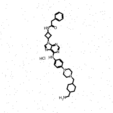 Cl.NCC1CCC(CN2CCN(c3ccc(Nc4ncnc5c4ncn5C4CC(NC(=O)Cc5ccccc5)C4)cc3)CC2)CC1